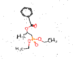 CCOP(=O)(CC(C)OC(=O)c1ccccc1)OCC